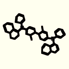 CC1=CC(N(C2=C3C=CC=CC3CC=C2)c2ccccc2)=CCC1C1C=CC(N(C2=C3C=CC=CC3CCC2)c2ccccc2)=CC1C